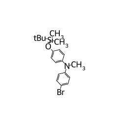 CN(c1ccc(Br)cc1)c1ccc(O[Si](C)(C)C(C)(C)C)cc1